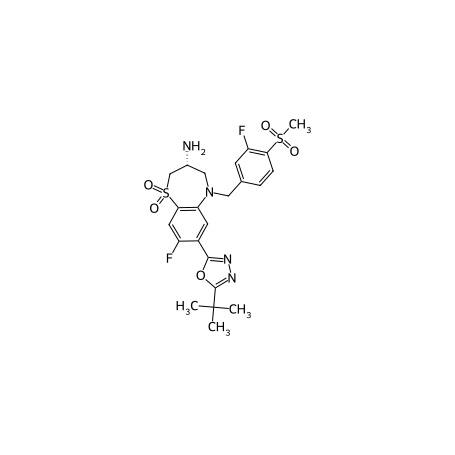 CC(C)(C)c1nnc(-c2cc3c(cc2F)S(=O)(=O)C[C@H](N)CN3Cc2ccc(S(C)(=O)=O)c(F)c2)o1